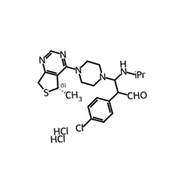 CC(C)NC(C(C=O)c1ccc(Cl)cc1)N1CCN(c2ncnc3c2[C@H](C)SC3)CC1.Cl.Cl